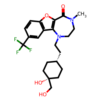 CN1CCN(CC[C@H]2CC[C@](O)(CO)CC2)c2c(oc3ccc(C(F)(F)F)cc23)C1=O